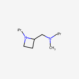 CC(C)N(C)CC1CCN1C(C)C